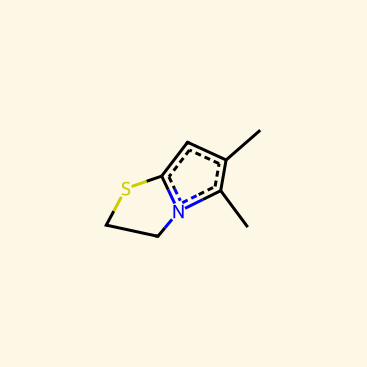 Cc1cc2n(c1C)CCS2